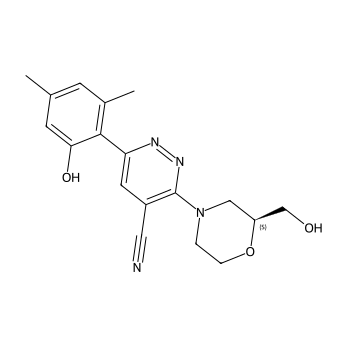 Cc1cc(C)c(-c2cc(C#N)c(N3CCO[C@H](CO)C3)nn2)c(O)c1